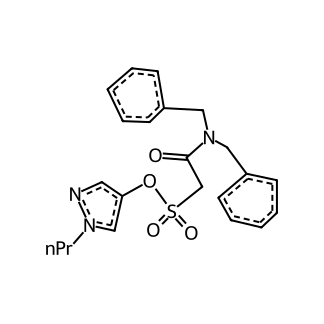 CCCn1cc(OS(=O)(=O)CC(=O)N(Cc2ccccc2)Cc2ccccc2)cn1